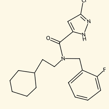 O=C(c1cc(Cl)n[nH]1)N(CCC1CCCCC1)Cc1ccccc1F